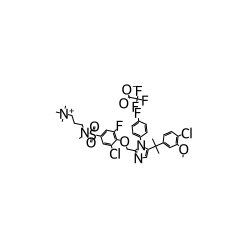 COc1cc(C(C)(C)c2cnc(COc3c(F)cc(S(=O)(=O)N(C)CCC[N+](C)(C)C)cc3Cl)n2-c2ccc(F)cc2)ccc1Cl.O=C([O-])C(F)(F)F